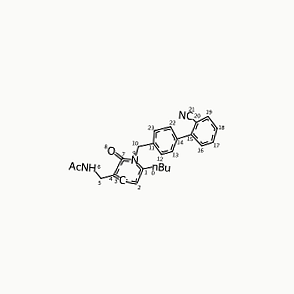 CCCCc1ccc(CNC(C)=O)c(=O)n1Cc1ccc(-c2ccccc2C#N)cc1